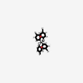 Cc1ccc(O[Si](Oc2ccc(C)cc2)(c2ccc(C)cc2)c2ccc(C)cc2)cc1